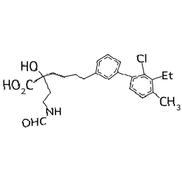 CCc1c(C)ccc(-c2cccc(CCCCC(O)(CCNC=O)C(=O)O)c2)c1Cl